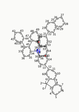 CC1(C)c2ccccc2-c2ccc(-c3ccc(N(c4ccc(-c5ccc6ccccc6c5)cc4)c4cccc(-c5ccccc5)c4-c4ccccc4-c4ccccc4)cc3)cc21